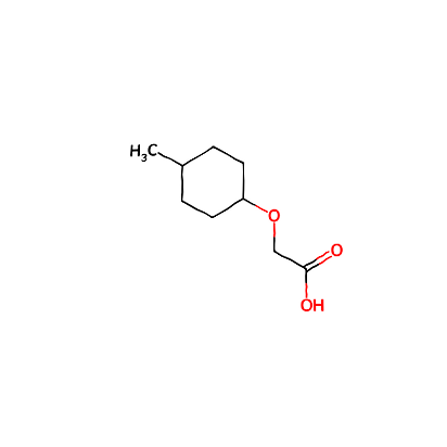 CC1CCC(OCC(=O)O)CC1